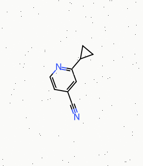 N#Cc1ccnc(C2CC2)c1